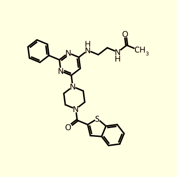 CC(=O)NCCNc1cc(N2CCN(C(=O)c3cc4ccccc4s3)CC2)nc(-c2ccccc2)n1